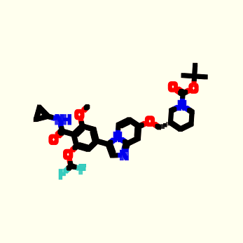 COc1cc(-c2cnc3cc(OC[C@H]4CCCN(C(=O)OC(C)(C)C)C4)ccn23)cc(OC(F)F)c1C(=O)NC1CC1